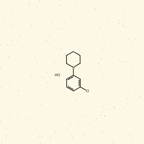 Cl.Clc1cccc(N2CCCCC2)c1